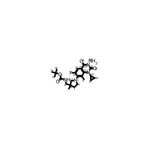 Cc1c(N2CCC(C)(CNC(=O)OC(C)(C)C)C2)c(F)cc2c(=O)n(N)c(=O)n(C3CC3)c12